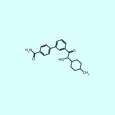 CC1CCC(N(O)C(=O)c2cccc(-c3ccc(C(N)=O)cc3)c2)CC1